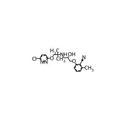 Cc1cccc(OCC(O)CNC(C)(C)COc2ccc(Cl)nn2)c1C#N